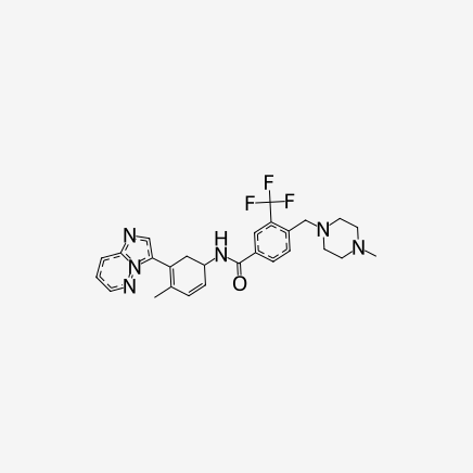 CC1=C(c2cnc3cccnn23)CC(NC(=O)c2ccc(CN3CCN(C)CC3)c(C(F)(F)F)c2)C=C1